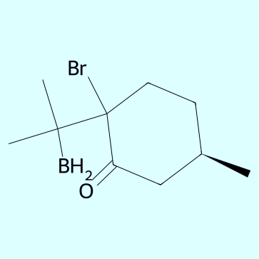 BC(C)(C)C1(Br)CC[C@@H](C)CC1=O